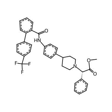 COC(=O)[C@H](c1ccccc1)N1CCC(c2ccc(NC(=O)c3ccccc3-c3ccc(C(F)(F)F)cc3)cc2)CC1